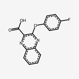 O=C(O)c1nc2ccccc2nc1Oc1ccc(F)cc1